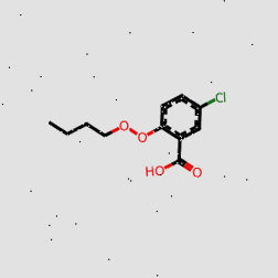 CCCCOOc1ccc(Cl)cc1C(=O)O